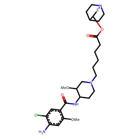 COc1cc(N)c(Cl)cc1C(=O)NC1CCN(CCCCCC(=O)OC2CN3CCC2CC3)CC1OC